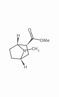 COC(=O)[C@H]1C[C@@H]2CC[C@H]1N2C